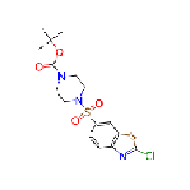 CC(C)(C)OC(=O)N1CCN(S(=O)(=O)c2ccc3nc(Cl)sc3c2)CC1